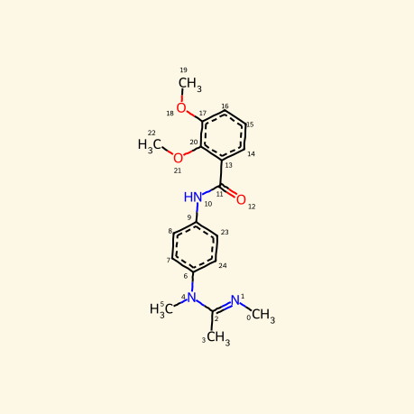 CN=C(C)N(C)c1ccc(NC(=O)c2cccc(OC)c2OC)cc1